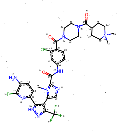 Cn1c(-c2c(C(F)(F)F)n[nH]c2-c2ccc(N)c(F)n2)cnc1C(=O)Nc1ccc(C(=O)N2CCN(C(=O)C3CC[N+](C)(C)CC3)CC2)c(Cl)c1